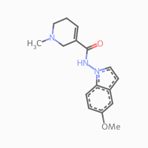 COc1ccc2c(ccn2NC(=O)C2=CCCN(C)C2)c1